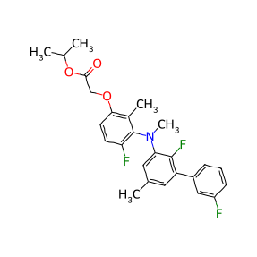 Cc1cc(-c2cccc(F)c2)c(F)c(N(C)c2c(F)ccc(OCC(=O)OC(C)C)c2C)c1